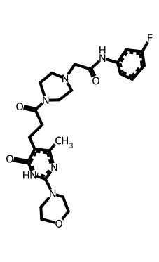 Cc1nc(N2CCOCC2)[nH]c(=O)c1CCC(=O)N1CCN(CC(=O)Nc2cccc(F)c2)CC1